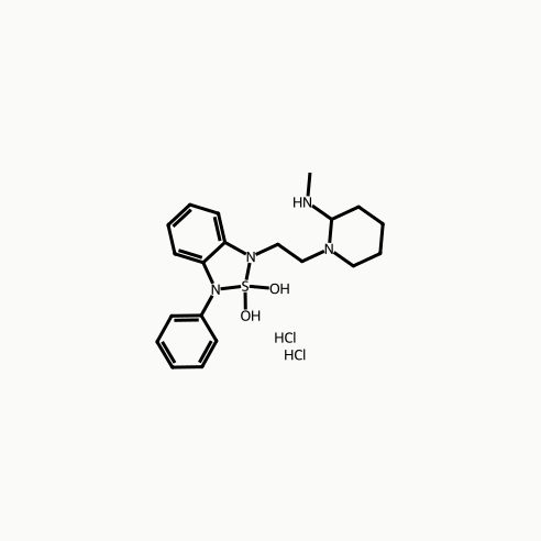 CNC1CCCCN1CCN1c2ccccc2N(c2ccccc2)S1(O)O.Cl.Cl